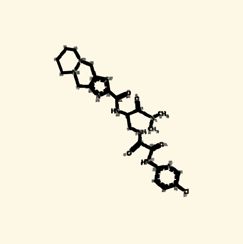 CN(C)C(=O)C(CNC(=O)C(=O)Nc1ccc(Cl)cn1)NC(=O)c1nc2c(s1)CN1CCCCN1C2